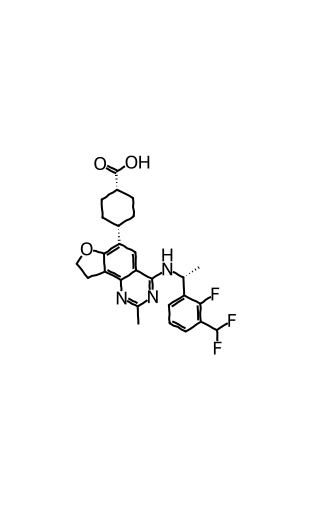 Cc1nc(N[C@H](C)c2cccc(C(F)F)c2F)c2cc([C@H]3CC[C@@H](C(=O)O)CC3)c3c(c2n1)CCO3